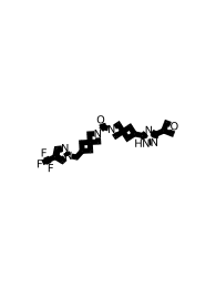 O=C(N1CC2(CC(Cn3cc(C(F)(F)F)cn3)C2)C1)N1CC2(CC(c3nc(C4COC4)n[nH]3)C2)C1